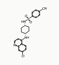 N#Cc1ccc(S(=O)(=O)N[C@H]2CC[C@@H](Nc3ccnc4cc(Cl)ccc34)CC2)cc1